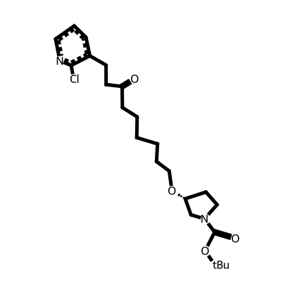 CC(C)(C)OC(=O)N1CC[C@@H](OCCCCCCC(=O)CCc2cccnc2Cl)C1